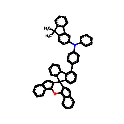 CC1(C)c2ccccc2-c2cc(N(c3ccccc3)c3ccc(-c4cccc5c4-c4ccccc4C54c5ccc6ccccc6c5Oc5c4ccc4ccccc54)cc3)ccc21